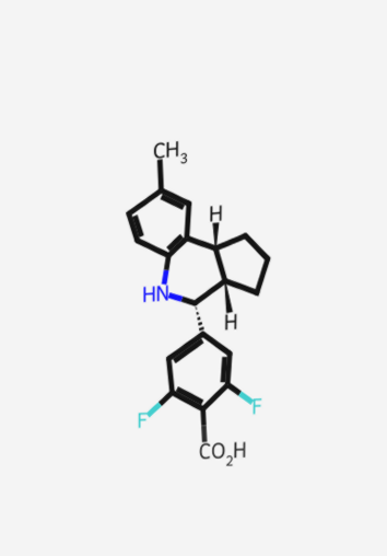 Cc1ccc2c(c1)[C@@H]1CCC[C@@H]1[C@H](c1cc(F)c(C(=O)O)c(F)c1)N2